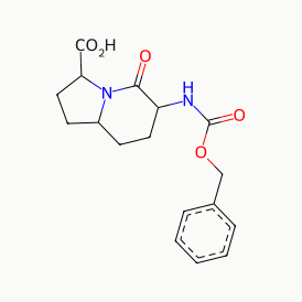 O=C(NC1CCC2CCC(C(=O)O)N2C1=O)OCc1ccccc1